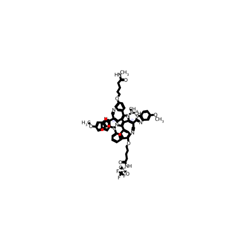 CNC(=O)CCCCOc1ccc(-c2c3/c(=C(\C#N)c4nc5cc(OC)ccc5s4)n(B(c4ccccc4)c4ccccc4)c(-c4ccc(OCCCCC(=O)NS(=O)(=O)C(F)(F)F)cc4)c3/c(=C(\C#N)c3nc4cc(OC)ccc4s3)n2B(C)C)cc1